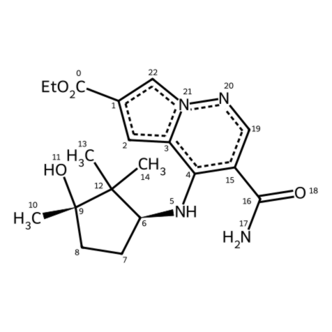 CCOC(=O)c1cc2c(N[C@H]3CC[C@](C)(O)C3(C)C)c(C(N)=O)cnn2c1